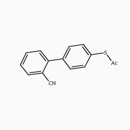 CC(=O)Sc1ccc(-c2ccccc2C#N)cc1